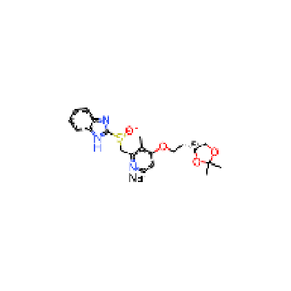 Cc1c(OCC[C@@H]2COC(C)(C)O2)ccnc1C[S+]([O-])c1nc2ccccc2[nH]1.[Na]